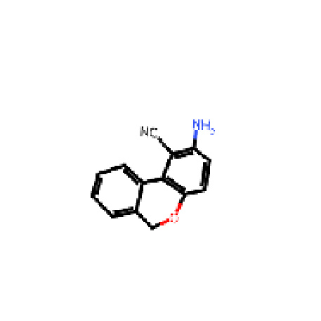 N#Cc1c(N)ccc2c1-c1ccccc1CO2